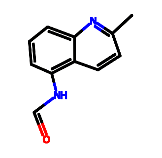 Cc1ccc2c(NC=O)cccc2n1